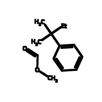 CCC(C)(C)c1ccccc1.COC=O